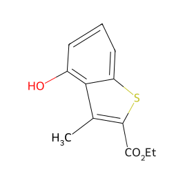 CCOC(=O)c1sc2cccc(O)c2c1C